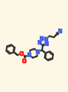 N#CCCn1nnc(C(c2ccccc2)N2CCN(C(=O)OCc3ccccc3)CC2)n1